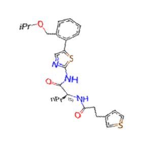 CCC[C@H](NC(=O)CCc1ccsc1)C(=O)Nc1ncc(-c2ccccc2COC(C)C)s1